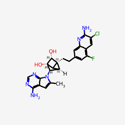 Cc1cc2c(N)ncnc2n1[C@@H]1[C@H]2C3[C@]1(O)[C@H](O)[C@]32CCc1cc(F)c2cc(Cl)c(N)nc2c1